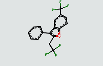 FC(F)(F)Cc1oc2ccc(C(F)(F)F)cc2c1-c1ccccc1